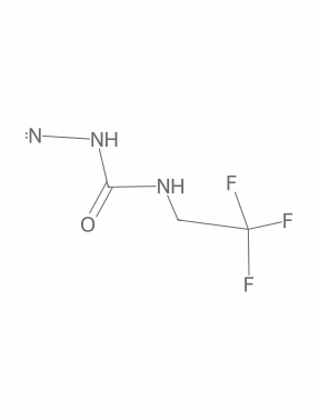 [N]NC(=O)NCC(F)(F)F